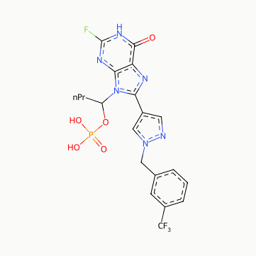 CCCC(OP(=O)(O)O)n1c(-c2cnn(Cc3cccc(C(F)(F)F)c3)c2)nc2c(=O)[nH]c(F)nc21